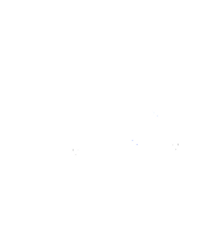 COc1cc(Cl)cc(Cc2cnc(SC)nc2Cl)c1C(C)C